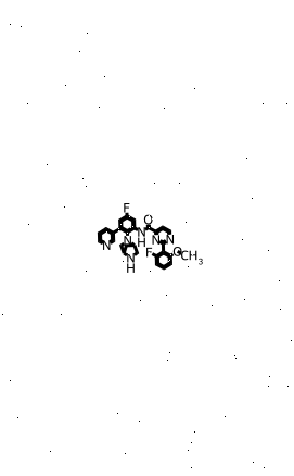 COc1cccc(F)c1-c1nccc(C(=O)Nc2cc(F)cc(-c3cccnc3)c2N2CC3CC2CN3)n1